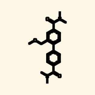 COCc1cc(C(=O)N(C)C)ccc1-c1ccc(C(=O)N(C)C)cc1